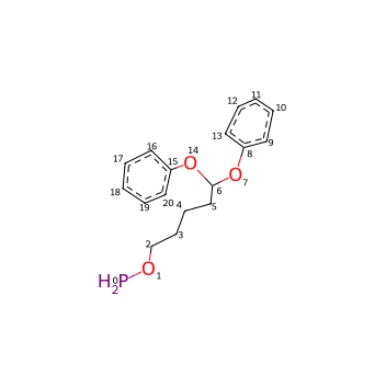 POCCCCC(Oc1ccccc1)Oc1ccccc1